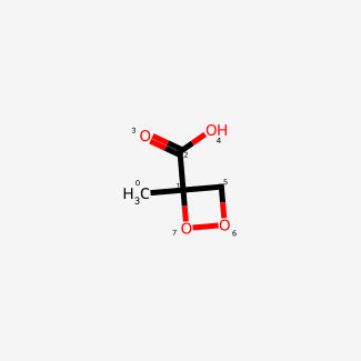 CC1(C(=O)O)COO1